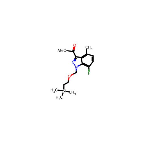 COC(=O)c1nn(COCC[Si](C)(C)C)c2c(F)ccc(C)c12